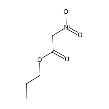 CCCOC(=O)C[N+](=O)[O-]